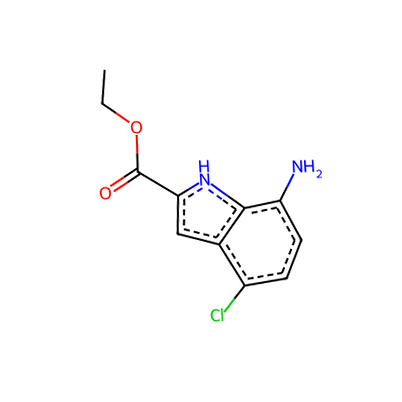 CCOC(=O)c1cc2c(Cl)ccc(N)c2[nH]1